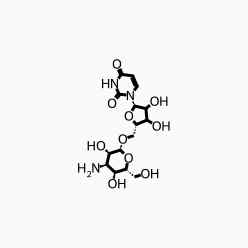 N[C@H]1[C@@H](O)[C@H](OC[C@@H]2O[C@H](n3ccc(=O)[nH]c3=O)C(O)C2O)O[C@H](CO)[C@H]1O